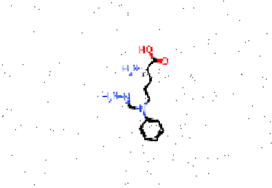 NN=CN(CCC[C@H](N)C(=O)O)c1ccccc1